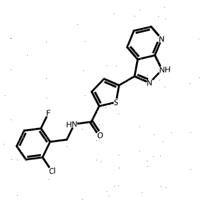 O=C(NCc1c(F)cccc1Cl)c1ccc(-c2n[nH]c3ncccc23)s1